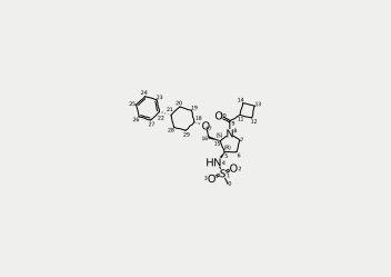 CS(=O)(=O)N[C@@H]1CCN(C(=O)C2CCC2)[C@@H]1CO[C@H]1CC[C@@H](c2ccccc2)CC1